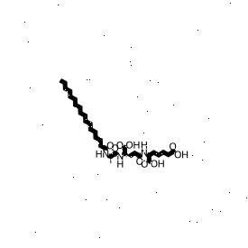 CCCCCCCCCCCCCCCCCC(=O)N[C@@H](C)C(=O)N[C@H](CCC(=O)NC(CCCCC(=O)O)C(=O)O)C(=O)O